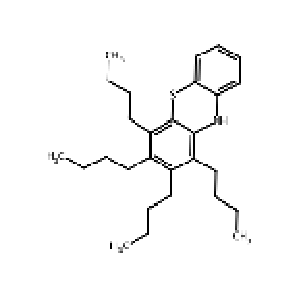 CCCCc1c(CCCC)c(CCCC)c2c(c1CCCC)Nc1ccccc1S2